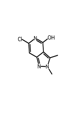 Cc1c2c(O)nc(Cl)cc2nn1C